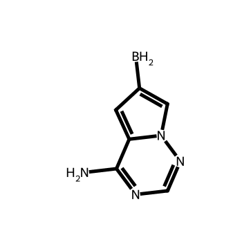 Bc1cc2c(N)ncnn2c1